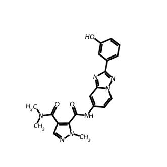 CN(C)C(=O)c1cnn(C)c1C(=O)Nc1ccn2nc(-c3cccc(O)c3)nc2c1